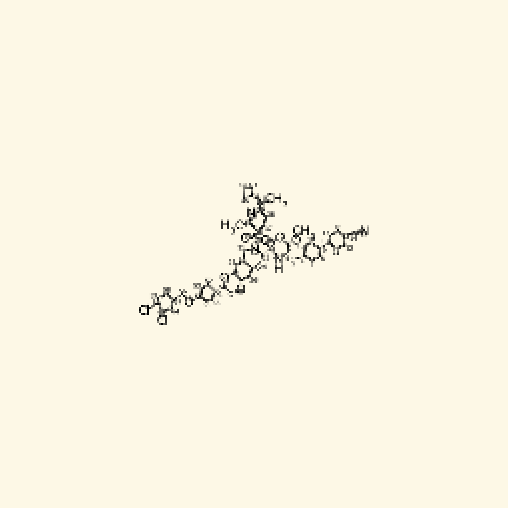 COC(=O)[C@H](Cc1ccc(-c2ccc(C#N)cc2)cc1)NC(=O)[C@@H]1Cc2cc3c(cc2CN1S(=O)(=O)c1ccc(N(C)C2CCC2)nc1C)O[C@@H](c1ccc(OCc2ccc(Cl)c(Cl)c2)cc1)CO3